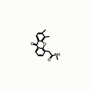 CNC(=O)Cc1cccc2c(=O)c3ccc(C)c(C)c3oc12